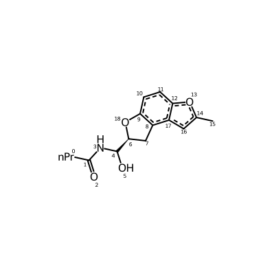 CCCC(=O)NC(O)[C@@H]1Cc2c(ccc3oc(C)cc23)O1